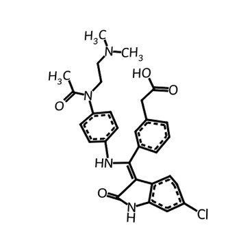 CC(=O)N(CCN(C)C)c1ccc(N/C(=C2\C(=O)Nc3cc(Cl)ccc32)c2cccc(CC(=O)O)c2)cc1